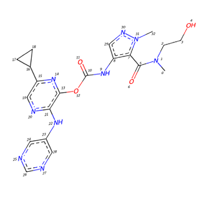 CN(CCO)C(=O)c1c(NC(=O)Oc2nc(C3CC3)cnc2Nc2cncnc2)cnn1C